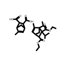 CC1=CC2CC1C(C(=O)O)C2C(=O)O.CCOC(=O)C1C2C=C(C)C(C(C)C)(C2)C1(C(=O)OCC)C(C)C